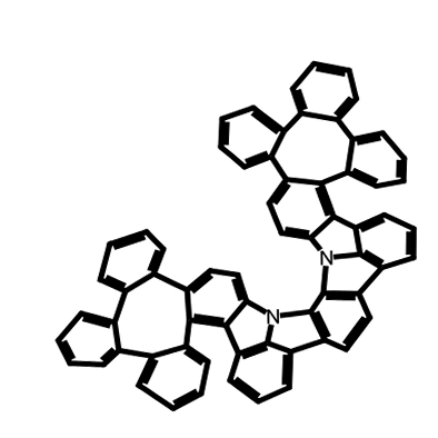 c1ccc2c(c1)-c1ccccc1-c1ccc3c(c1-c1ccccc1-2)c1cccc2c4ccc5c6cccc7c8c9c(ccc8n(c67)c5c4n3c21)-c1ccccc1-c1ccccc1-c1ccccc1-9